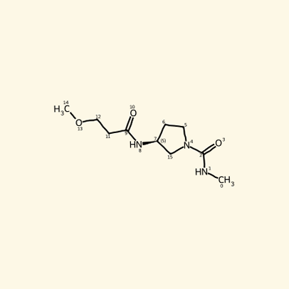 CNC(=O)N1CC[C@H](NC(=O)CCOC)C1